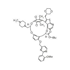 COc1ccccc1-c1nccc(COc2ccc3cc2C[C@H](C(=O)OC(C)(C)C)Oc2ncnc4sc(C[C@@H]5COCCO5)c(c24)-c2c(C)c(Cl)c(c(Cl)c2C)O[C@H](CN2CCN(C)CC2)CO3)n1